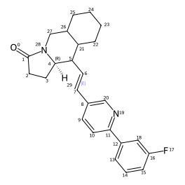 O=C1CC[C@@H]2C(/C=C/c3ccc(-c4cccc(F)c4)nc3)C3CCCCC3CN12